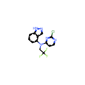 FC(F)(F)CN(c1ccnc(Cl)n1)c1cccc2[nH]ncc12